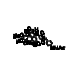 COc1cc([C@@H]2c3cc4c(cc3[C@@H](NC3=CC(=O)N(Cc5ccc(NC(C)=O)cc5)C3=O)[C@H]3COC(=O)[C@H]23)OCO4)cc(OC)c1O